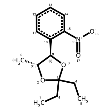 [CH2][C@H]1OC(CC)(CC)O[C@@H]1c1ccccc1[N+](=O)[O-]